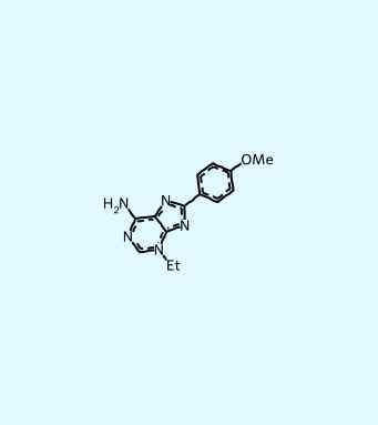 CCn1cnc(N)c2nc(-c3ccc(OC)cc3)nc1-2